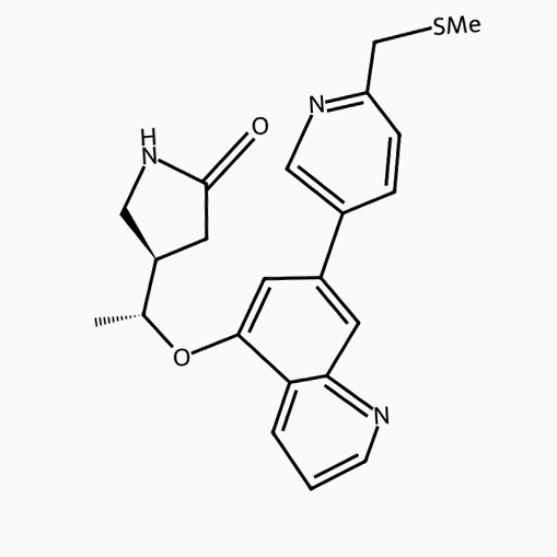 CSCc1ccc(-c2cc(O[C@H](C)[C@H]3CNC(=O)C3)c3cccnc3c2)cn1